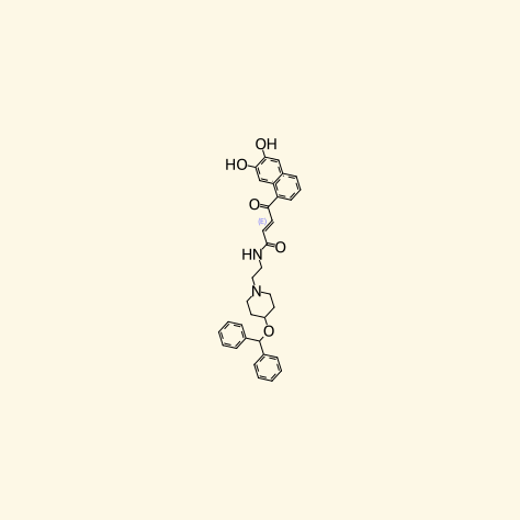 O=C(/C=C/C(=O)c1cccc2cc(O)c(O)cc12)NCCN1CCC(OC(c2ccccc2)c2ccccc2)CC1